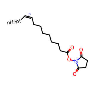 CCCCCCC/C=C\CCCCCCCC(=O)ON1C(=O)CCC1=O